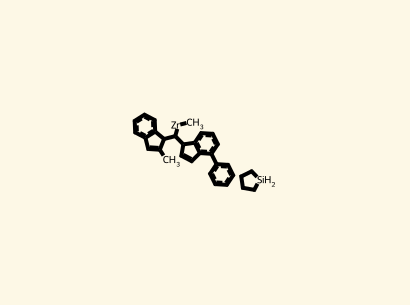 C1CC[SiH2]C1.[CH3][Zr][CH](C1C=Cc2c(-c3ccccc3)cccc21)C1C(C)=Cc2ccccc21